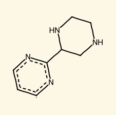 [c]1ccnc(C2CNCCN2)n1